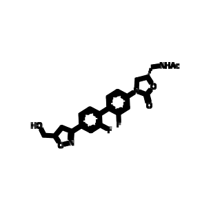 CC(=O)NC[C@H]1CN(c2ccc(-c3ccc(C4=NOC(CO)C4)cc3F)c(F)c2)C(=O)O1